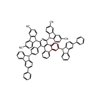 N#Cc1ccc2c(c1)c1cc(C#N)ccc1n2-c1nc(-n2c3ccc(C#N)cc3c3cc(C#N)ccc32)c(-c2ccc(-n3c4ccccc4c4cc(-c5ccccc5)ccc43)cc2)c(-c2ccccc2-c2ccccn2)c1-c1ccc(-n2c3ccccc3c3cc(-c4ccccc4)ccc32)cc1